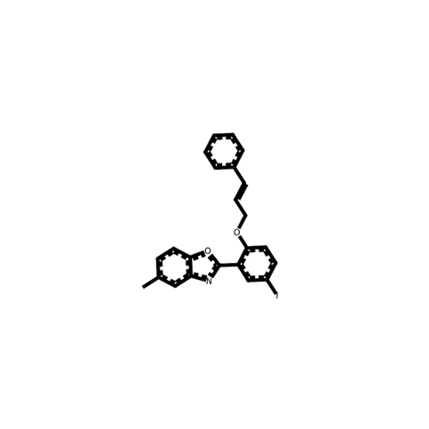 Cc1ccc2oc(-c3cc(I)ccc3OC/C=C/c3ccccc3)nc2c1